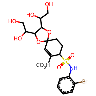 O=C(O)C1=CC2(CCC1S(=O)(=O)Nc1ccccc1Br)OC(C(O)CO)C(C(O)CO)O2